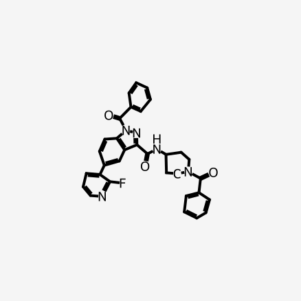 O=C(NC1CCN(C(=O)c2ccccc2)CC1)c1nn(C(=O)c2ccccc2)c2ccc(-c3cccnc3F)cc12